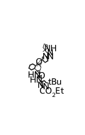 CCOC(=O)c1nc(NC(=O)N[C@H]2CC[C@@H](Oc3ccc4nnc(C5(C)CCCN5)n4c3)c3ccccc32)cc(C(C)(C)C)n1